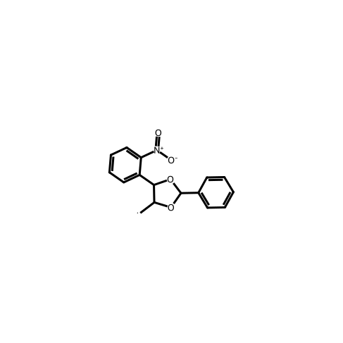 [CH2]C1OC(c2ccccc2)OC1c1ccccc1[N+](=O)[O-]